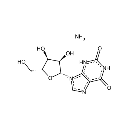 N.O=c1[nH]c(=O)c2ncn([C@@H]3O[C@H](CO)[C@@H](O)[C@H]3O)c2[nH]1